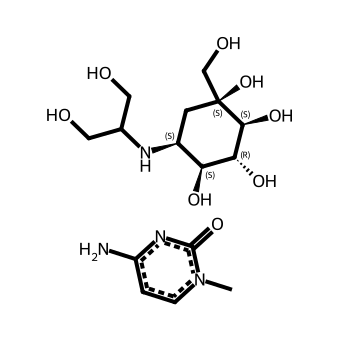 Cn1ccc(N)nc1=O.OCC(CO)N[C@H]1C[C@](O)(CO)[C@@H](O)[C@H](O)[C@H]1O